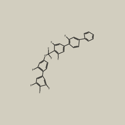 Fc1cc(OC(F)(F)c2c(F)cc(-c3ccc(-c4ccccc4)cc3F)cc2F)ccc1-c1cc(F)c(F)c(F)c1